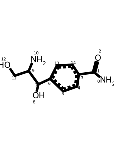 NC(=O)c1ccc(C(O)C(N)CO)cc1